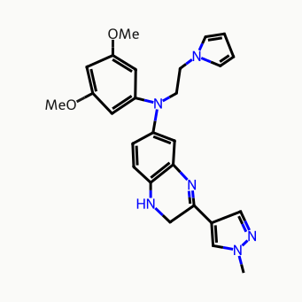 COc1cc(OC)cc(N(CCn2cccc2)c2ccc3c(c2)N=C(c2cnn(C)c2)CN3)c1